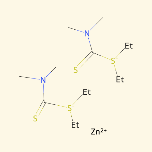 CC[S-](CC)C(=S)N(C)C.CC[S-](CC)C(=S)N(C)C.[Zn+2]